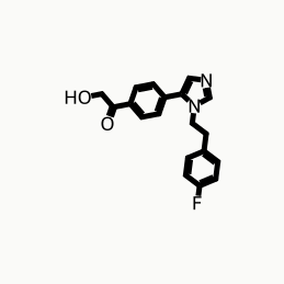 O=C(CO)c1ccc(-c2cncn2CCc2ccc(F)cc2)cc1